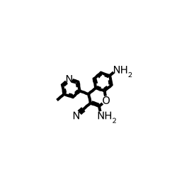 Cc1cncc(C2C(C#N)=C(N)Oc3cc(N)ccc32)c1